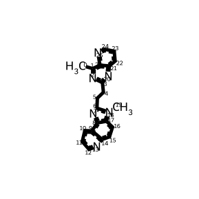 Cc1nc(CCc2nc3c4cccnc4ccc3n2C)nc2cccnc12